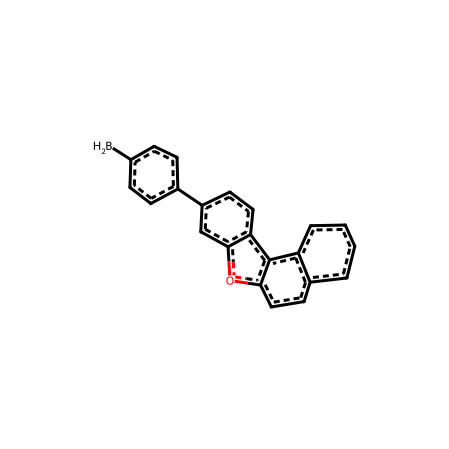 Bc1ccc(-c2ccc3c(c2)oc2ccc4ccccc4c23)cc1